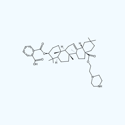 CC1(C)CC[C@]2(C(=O)OCCN3CCNCC3)CC[C@]3(C)C(=CC[C@@H]4[C@@]5(C)CC[C@H](OC(=O)c6ccccc6C(=O)O)C(C)(C)[C@@H]5CC[C@]43C)[C@@H]2C1